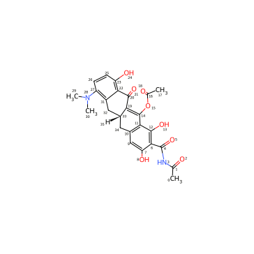 CC(=O)NC(=O)c1c(O)cc2c(c1O)C(OC(C)=O)=C1C(=O)c3c(O)ccc(N(C)C)c3C[C@H]1C2